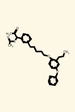 CCCc1cc(Oc2ccccc2)ccc1OCCCCCc1cccc(C(SC(C)=O)C(C)=O)c1